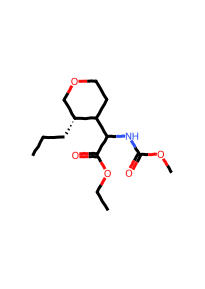 CCC[C@@H]1COCCC1C(NC(=O)OC)C(=O)OCC